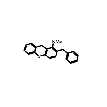 CNc1c(Cc2ccccc2)ccc2c1Cc1ccccc1S2